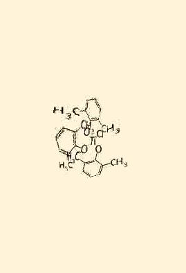 Cc1cccc(C)c1[O][Ti]([Cl])([O]c1c(C)cccc1C)[O]c1c(C)cccc1C